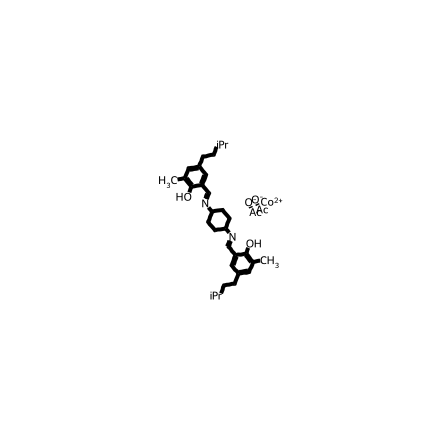 CC(=O)[O-].CC(=O)[O-].Cc1cc(CCC(C)C)cc(C=NC2CCC(N=Cc3cc(CCC(C)C)cc(C)c3O)CC2)c1O.[Co+2]